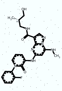 CNc1cc(Nc2cccn(-c3ccccc3F)c2=O)nc2c(C(=O)NC[C@H](C)CO)cnn12